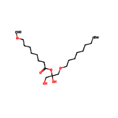 CCCCCCCCCCCCCCCCCOCC(O)(CO)OC(=O)CCCCCCCOC=O